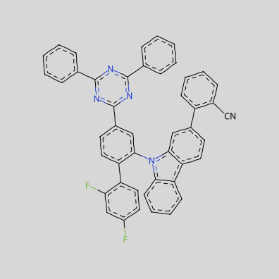 N#Cc1ccccc1-c1ccc2c3ccccc3n(-c3cc(-c4nc(-c5ccccc5)nc(-c5ccccc5)n4)ccc3-c3ccc(F)cc3F)c2c1